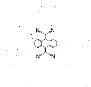 N#CC(C#N)=c1c2ccccc2c(=C(C#N)C#N)c2ccccc12